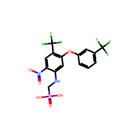 O=[N+]([O-])c1cc(C(F)(F)F)c(Oc2cccc(C(F)(F)F)c2)cc1NCP(=O)(O)O